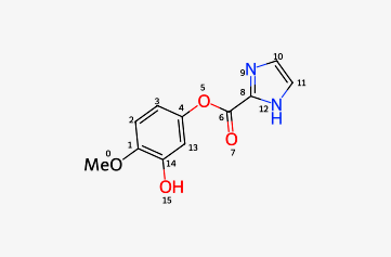 COc1ccc(OC(=O)c2ncc[nH]2)cc1O